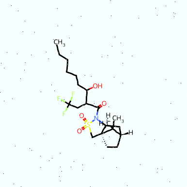 CCCCCCC(O)C(CC(F)(F)F)C(=O)N1[C@H]2C[C@@H]3CC[C@@]2(CS1(=O)=O)C3(C)C